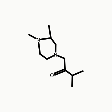 CC(C)C(=O)CN1CCN(C)C(C)C1